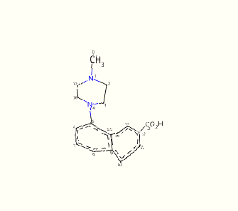 CN1CCN(c2cccc3ccc(C(=O)O)cc23)CC1